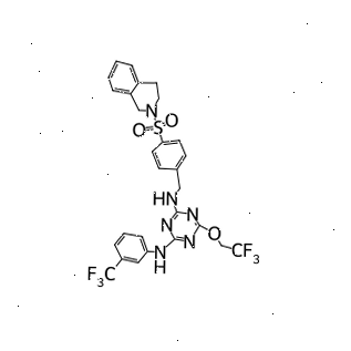 O=S(=O)(c1ccc(CNc2nc(Nc3cccc(C(F)(F)F)c3)nc(OCC(F)(F)F)n2)cc1)N1CCc2ccccc2C1